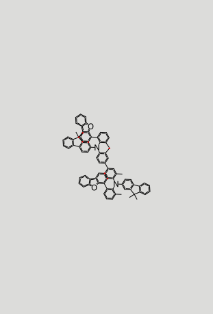 Cc1cc(-c2ccc(N(c3ccc4c(c3)C(C)(C)c3ccccc3-4)c3c(C)cccc3-c3cccc4c3oc3ccccc34)c(C)c2)ccc1N(c1ccc2c(c1)C(C)(C)c1ccccc1-2)c1c(C)cccc1-c1cccc2c1oc1ccccc12